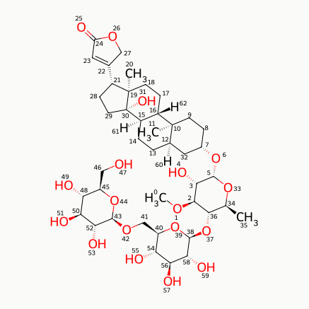 CO[C@H]1[C@H](O)[C@H](O[C@H]2CC[C@@]3(C)[C@H](CC[C@@H]4[C@@H]3CC[C@]3(C)[C@@H](C5=CC(=O)OC5)CC[C@]43O)C2)O[C@@H](C)[C@@H]1O[C@@H]1O[C@H](CO[C@@H]2O[C@H](CO)[C@@H](O)[C@H](O)[C@H]2O)[C@@H](O)[C@H](O)[C@H]1O